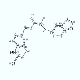 CN(Cc1ccc2occc2c1)C(=O)C=Cc1cnc2c(c1)CCC(=O)N2